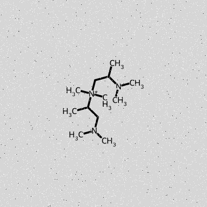 CC(C[N+](C)(C)C(C)CN(C)C)N(C)C